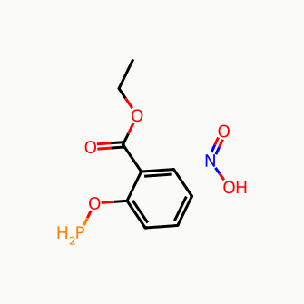 CCOC(=O)c1ccccc1OP.O=NO